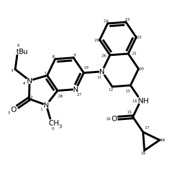 Cn1c(=O)n(CC(C)(C)C)c2ccc(N3CC(NC(=O)C4CC4)Cc4ccccc43)nc21